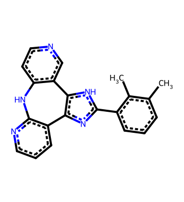 Cc1cccc(-c2nc3c([nH]2)-c2cnccc2Nc2ncccc2-3)c1C